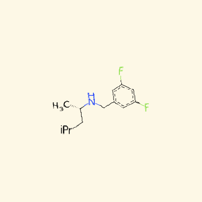 CC(C)C[C@H](C)NCc1cc(F)cc(F)c1